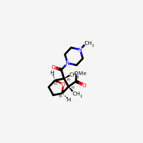 COC(=O)[C@]1(C)[C@H]2CC[C@H](O2)[C@]1(C)C(=O)N1CCN(C)CC1